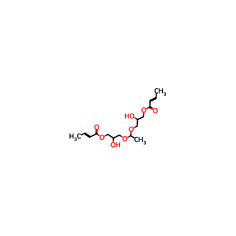 CC=CC(=O)OCC(O)COC(C)OCC(O)COC(=O)C=CC